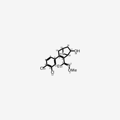 CCC(=NOC)C1=C(c2ccc(Cl)c(Cl)c2)CC2CC(O)C1S2